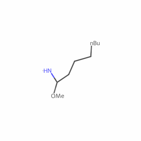 CCCCCCCC([NH])OC